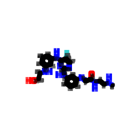 CNCCNC(=O)C=Nc1cccc(Nc2ncc(F)c(Nc3cccc(NCCO)c3)n2)c1